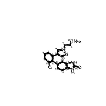 COCCn1cc(-c2cccc(Cl)c2-c2ccc3[nH]c(=O)[nH]c3c2)cn1